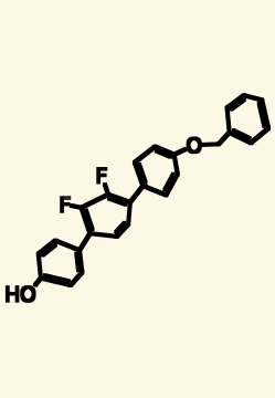 Oc1ccc(-c2ccc(-c3ccc(OCc4ccccc4)cc3)c(F)c2F)cc1